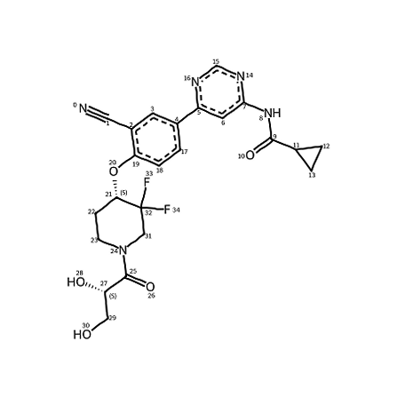 N#Cc1cc(-c2cc(NC(=O)C3CC3)ncn2)ccc1O[C@H]1CCN(C(=O)[C@@H](O)CO)CC1(F)F